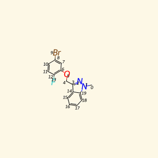 Cn1nc(COc2cc(Br)ccc2F)c2ccccc21